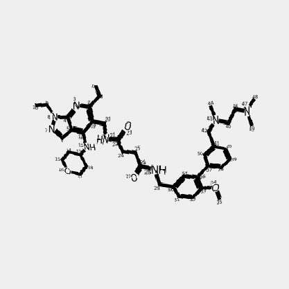 CCc1nc2c(cnn2CC)c(NC2CCOCC2)c1CNC(=O)CCC(=O)NCc1ccc(OC)c(-c2cccc(CN(C)CCN(C)C)c2)c1